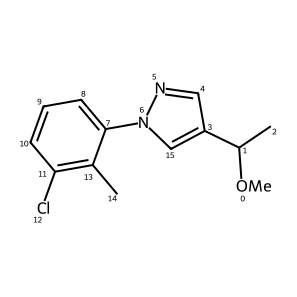 COC(C)c1cnn(-c2cccc(Cl)c2C)c1